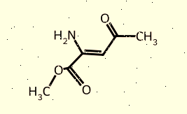 COC(=O)C(N)=CC(C)=O